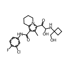 Cc1c(C(=O)Nc2ccc(F)c(Cl)c2)c2n(c1C(=O)C(O)NC1(CO)CCC1)CCCC2